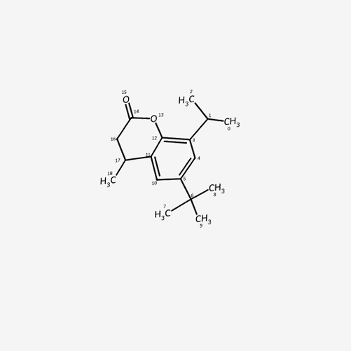 CC(C)c1cc(C(C)(C)C)cc2c1OC(=O)CC2C